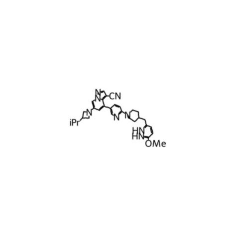 COC(=N)/C=C\C(=N)CC1CCN(c2ccc(-c3cc(N4CC(C(C)C)C4)cn4ncc(C#N)c34)cn2)CC1